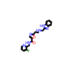 O=C(NCc1ncccc1F)c1cnc(CCNCc2nc3ccccc3[nH]2)o1